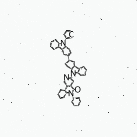 O=c1c2cc(-n3c4ccccc4c4cc(-c5ccc6c(c5)c5ccccc5n6-c5ccccc5)ccc43)ncc2c2ccccc2n1-c1ccccc1